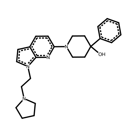 OC1(c2ccccc2)CCN(c2ccc3ccn(CCN4CCCC4)c3n2)CC1